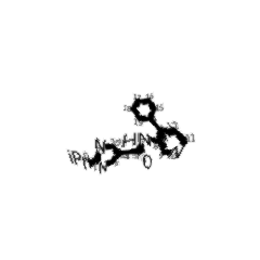 CC(C)c1ncc(C(=O)Nc2cnccc2-c2ccccc2)cn1